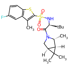 Cc1c(S(=O)(=O)N[C@H](C(=O)N2C[C@H]3[C@@H]([C@H]2C)C3(C)C)C(C)(C)C)sc2ccc(F)cc12